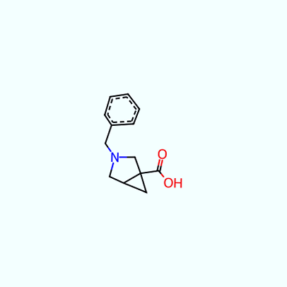 O=C(O)C12CC1CN(Cc1ccccc1)C2